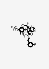 C[C@](C(=O)NCCc1cccc(F)c1)(c1cncnc1)N(C(=O)[C@H](F)Cl)c1ccc(OC(F)(F)F)cc1F